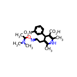 CC1=C(CC=NOC(C)N(C)C)C(c2cccc([N+](=O)[O-])c2)C(C(=O)O)=C(C)N1